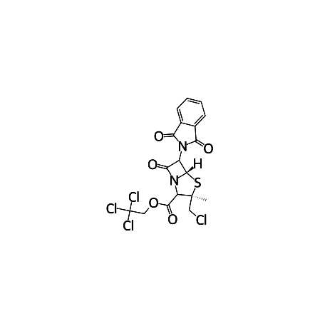 C[C@@]1(CCl)S[C@H]2C(N3C(=O)c4ccccc4C3=O)C(=O)N2C1C(=O)OCC(Cl)(Cl)Cl